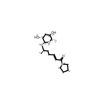 C[C@H](CC/C=C/C(=O)N1CCCC1)O[C@@H]1O[C@@H](C)[C@H](O)C[C@H]1O